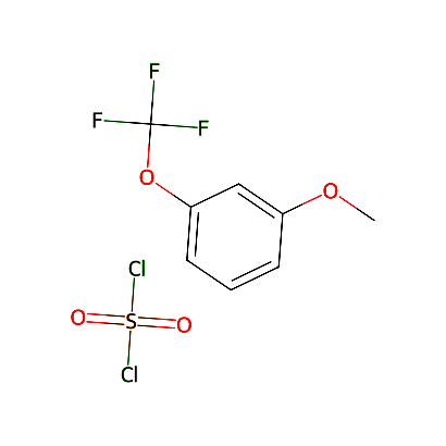 COc1cccc(OC(F)(F)F)c1.O=S(=O)(Cl)Cl